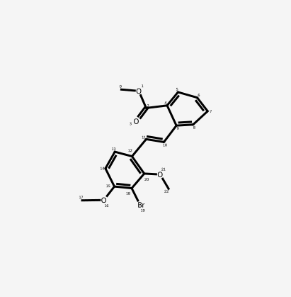 COC(=O)c1ccccc1C=Cc1ccc(OC)c(Br)c1OC